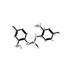 Bc1cc(C)ccc1OP(C)Oc1ccc(C)cc1CCCC